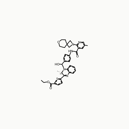 CCOC(=O)c1ccc(C2=Nc3ccccc3N(C(O)c3ccc(NC(=O)c4cc(C)cnc4N4CC5(CCOCC5)C4)cc3)[C@H]2C)s1